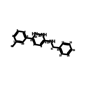 Cc1cccc(C2=CC=C(NCc3ccccc3)NN2)c1